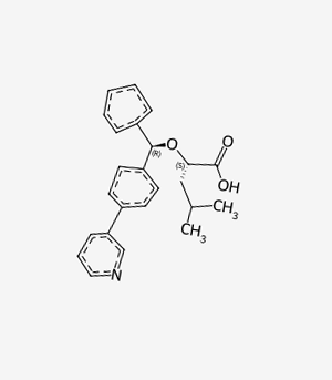 CC(C)C[C@H](O[C@H](c1ccccc1)c1ccc(-c2cccnc2)cc1)C(=O)O